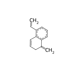 C=Cc1cccc2c1C=CCC2=C